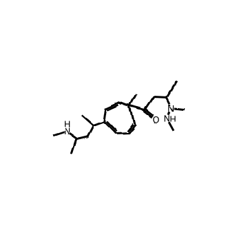 CNC(C)CC(C)C1=CC=CC(C)(C(=O)CC(C)N(C)NC)C=C1